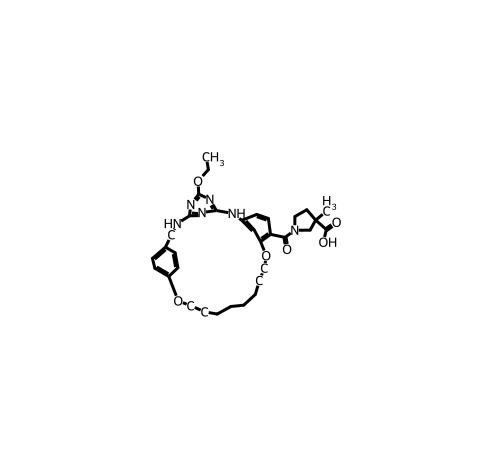 CCOc1nc2nc(n1)Nc1ccc(C(=O)N3CCC(C)(C(=O)O)C3)c(c1)OCCCCCCCCOc1ccc(cc1)CN2